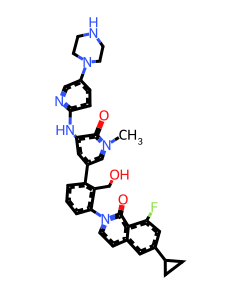 Cn1cc(-c2cccc(-n3ccc4cc(C5CC5)cc(F)c4c3=O)c2CO)cc(Nc2ccc(N3CCNCC3)cn2)c1=O